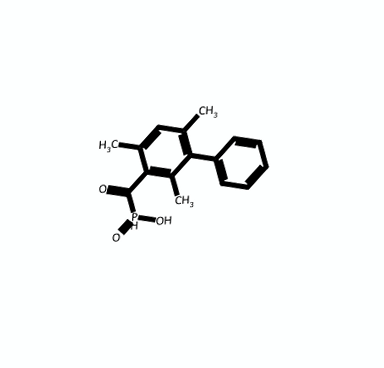 Cc1cc(C)c(-c2ccccc2)c(C)c1C(=O)[PH](=O)O